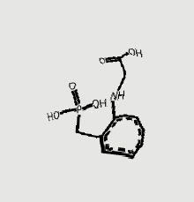 O=C(O)CNc1ccccc1CP(=O)(O)O